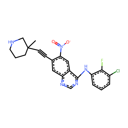 CC1(C#Cc2cc3ncnc(Nc4cccc(Cl)c4F)c3cc2[N+](=O)[O-])CCCNC1